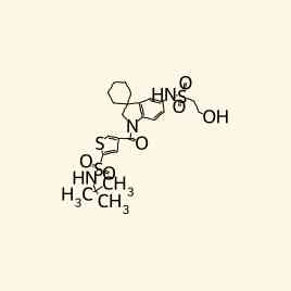 CC(C)(C)NS(=O)(=O)c1cc(C(=O)N2CC3(CCCCC3)c3cc(NS(=O)(=O)CCO)ccc32)cs1